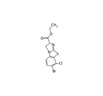 CCOC(=O)C1CN2C(=N1)Sc1c2ccc(Br)c1Cl